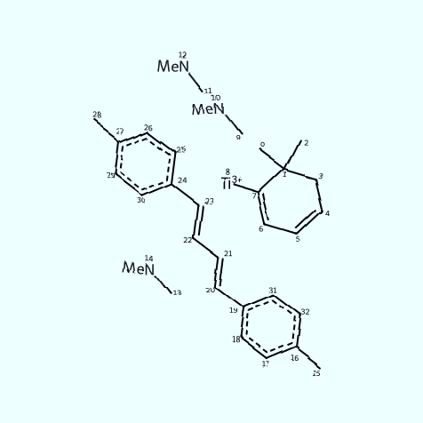 CC1(C)CC=CC=[C]1[Ti+3].C[N-]C.C[N-]C.C[N-]C.Cc1ccc(C=CC=Cc2ccc(C)cc2)cc1